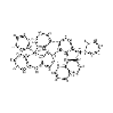 c1ccc(-n2c3cccc(-c4ccc5c(c4)C(c4ccccc4)(c4ccccc4)c4ccccc4O5)c3c3c4ccccc4ccc32)cc1